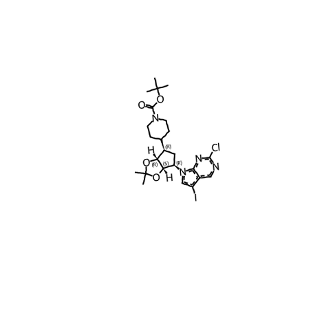 CC(C)(C)OC(=O)N1CCC([C@H]2C[C@@H](n3cc(I)c4cnc(Cl)nc43)[C@@H]3OC(C)(C)O[C@@H]32)CC1